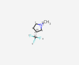 CN1CC[C@@H](C(F)(F)F)C1